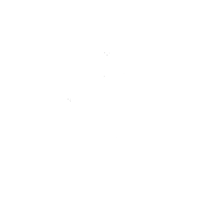 O=C(O)[C@@H](C[N+](=O)[O-])c1c[nH]c2ccc(OCc3ccccc3)cc12